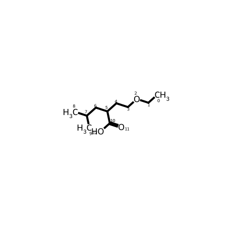 CCOCCC(CC(C)C)C(=O)O